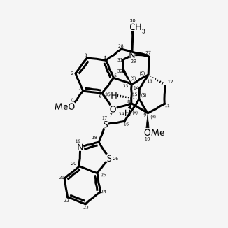 COc1ccc2c3c1O[C@H]1[C@@]4(OC)CC[C@@]5(C[C@@H]4CSc4nc6ccccc6s4)C(C2)N(C)CC[C@]315